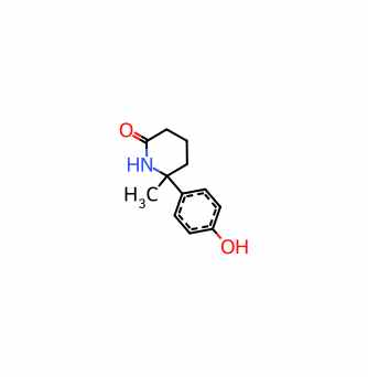 CC1(c2ccc(O)cc2)CCCC(=O)N1